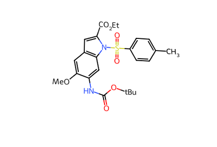 CCOC(=O)c1cc2cc(OC)c(NC(=O)OC(C)(C)C)cc2n1S(=O)(=O)c1ccc(C)cc1